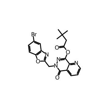 CC(C)(C)CC(=O)Oc1nn(Cc2nc3cc(Br)ccc3o2)c(=O)c2cccnc12